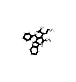 CCCC(C(=O)O)c1c(C)nc2c3c(sc2c1Cc1ccccc1)CCCC3